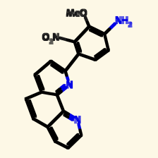 COc1c(N)ccc(-c2ccc3ccc4cccnc4c3n2)c1[N+](=O)[O-]